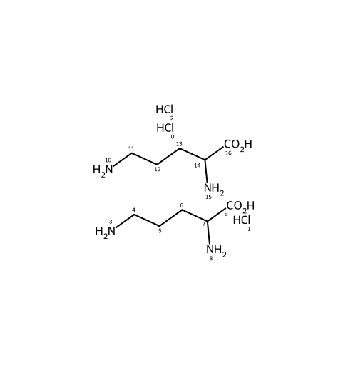 Cl.Cl.Cl.NCCCC(N)C(=O)O.NCCCC(N)C(=O)O